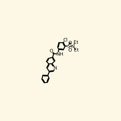 CCN(CC)S(=O)(=O)c1cc(NC(=O)c2ccc3cc(-c4ccccc4)cnc3c2)ccc1Cl